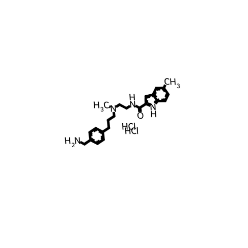 Cc1ccc2[nH]c(C(=O)NCCN(C)CCCc3ccc(CN)cc3)cc2c1.Cl.Cl